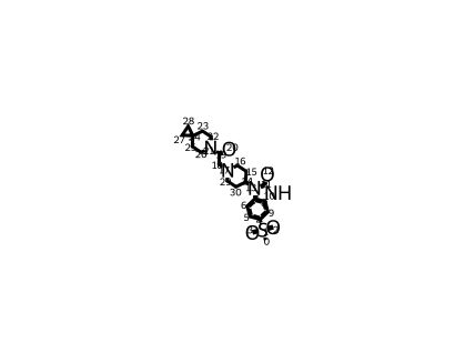 CS(=O)(=O)c1ccc2c(c1)[nH]c(=O)n2C1CCN(CC(=O)N2CCC3(CC2)CC3)CC1